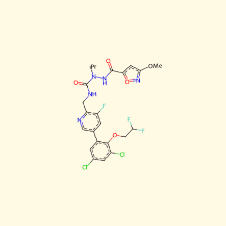 COc1cc(C(=O)NN(C(=O)NCc2ncc(-c3cc(Cl)cc(Cl)c3OCC(F)F)cc2F)C(C)C)on1